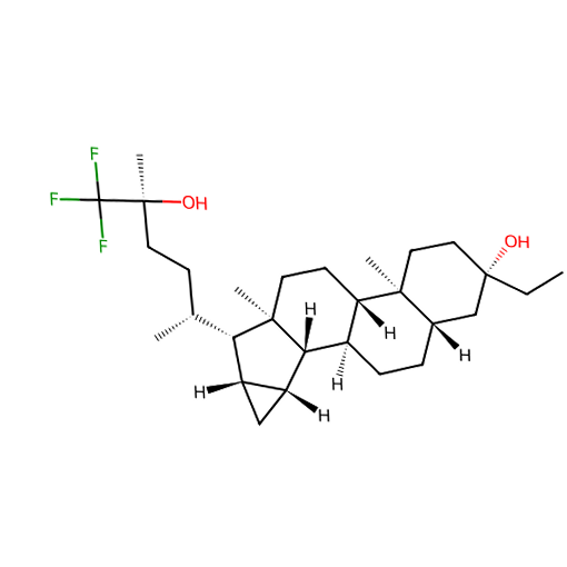 CC[C@]1(O)CC[C@@]2(C)[C@@H](CC[C@H]3[C@@H]4[C@@H]5C[C@@H]5[C@H]([C@H](C)CC[C@](C)(O)C(F)(F)F)[C@@]4(C)CC[C@@H]32)C1